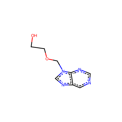 OCCOCn1cnc2cncnc21